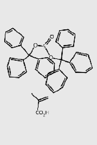 C=C(C)C(=O)O.O=S(OC(c1ccccc1)(c1ccccc1)c1ccccc1)OC(c1ccccc1)(c1ccccc1)c1ccccc1